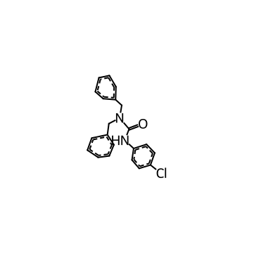 O=C(Nc1ccc(Cl)cc1)N(Cc1ccccc1)Cc1ccccc1